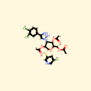 CC(=O)OCC1O[C@H](Sc2cncc(Cl)c2)C(OC(C)=O)C(N2C=C(c3ccc(Cl)c(Cl)c3)NN2)[C@H]1OC(C)=O